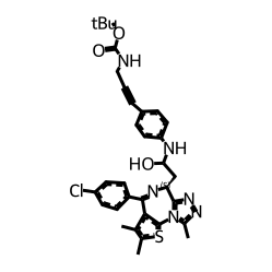 Cc1sc2c(c1C)C(c1ccc(Cl)cc1)=N[C@@H](CC(O)Nc1ccc(C#CCNC(=O)OC(C)(C)C)cc1)c1nnc(C)n1-2